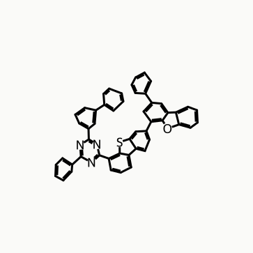 c1ccc(-c2cccc(-c3nc(-c4ccccc4)nc(-c4cccc5c4sc4cc(-c6cc(-c7ccccc7)cc7c6oc6ccccc67)ccc45)n3)c2)cc1